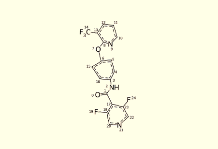 O=C(Nc1ccc(Oc2ncccc2C(F)(F)F)cc1)c1c(F)cncc1F